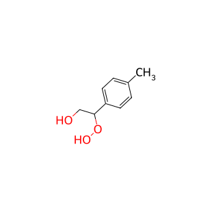 Cc1ccc(C(CO)OO)cc1